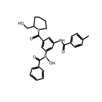 Cc1ccc(C(=O)Nc2cc(C(=O)N3CCCCC3CO)cc(N(O)C(=O)c3ccccc3)c2)cc1